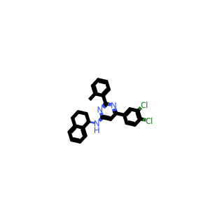 Cc1ccccc1-c1nc(N[C@@H]2CCCc3ccccc32)cc(-c2ccc(Cl)c(Cl)c2)n1